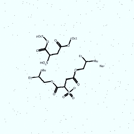 CCCCC(CC)COC(=O)CC(C(=O)OCC(CC)CCCC)S(=O)(=O)[O-].CCCCCCCCOC(=O)CC(C(=O)OCCCCCCCC)S(=O)(=O)O.[Na+]